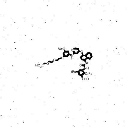 COc1cc(Nc2cc(Oc3ccc(NC(=O)Nc4cc(C(C)(C)C)cc(C=O)c4OC)c4ccccc34)ccn2)cc(OCCOCCOCC(=O)O)c1